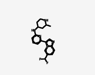 CC1CC(Nc2cccc(-c3cnc4ccc(C(F)F)cn34)n2)CCN1